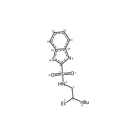 CCCCC(CC)CNS(=O)(=O)c1nc2ccccc2s1